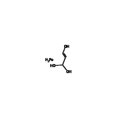 OC=CC(O)O.[PoH2]